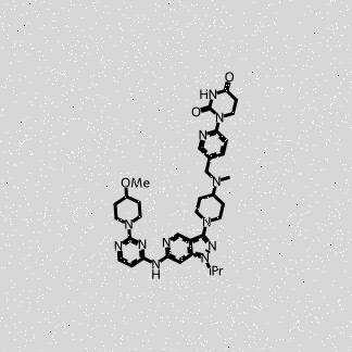 COC1CCN(c2nccc(Nc3cc4c(cn3)c(N3CCC(N(C)Cc5ccc(N6CCC(=O)NC6=O)nc5)CC3)nn4C(C)C)n2)CC1